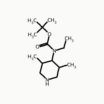 CCN(C(=O)OC(C)(C)C)C1C(C)CNCC1C